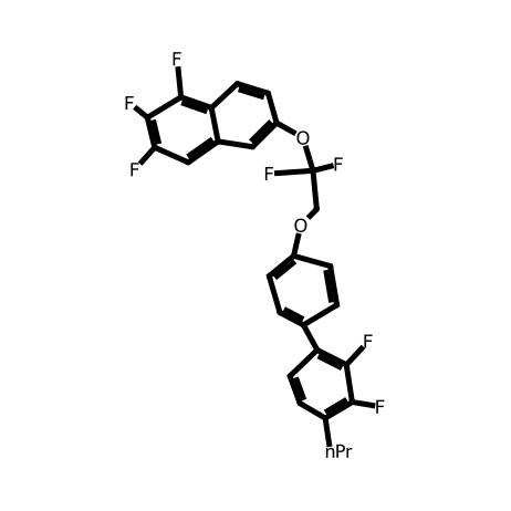 CCCc1ccc(-c2ccc(OCC(F)(F)Oc3ccc4c(F)c(F)c(F)cc4c3)cc2)c(F)c1F